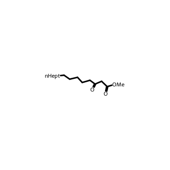 CCCCCCCCCCCCC(=O)CC(=O)OC